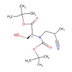 CC(C#N)CN(C(=O)OC(C)(C)C)[C@@H](CO)C(=O)OC(C)(C)C